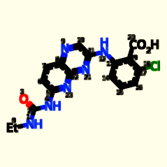 CCNC(=O)Nc1ccc2ncc(Nc3cccc(Cl)c3C(=O)O)nc2n1